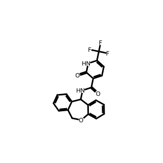 O=C(NC1c2ccccc2COc2ccccc21)c1ccc(C(F)(F)F)[nH]c1=O